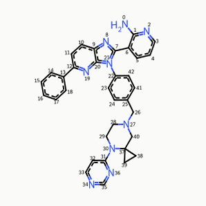 Nc1ncccc1-c1nc2ccc(-c3ccccc3)nc2n1-c1ccc(CN2CCN(c3ccncn3)C3(CC3)C2)cc1